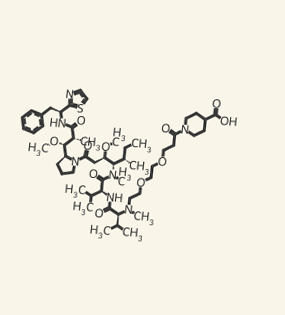 CC[C@H](C)[C@@H]([C@@H](CC(=O)N1CCC[C@H]1[C@H](OC)[C@@H](C)C(=O)N[C@@H](Cc1ccccc1)c1nccs1)OC)N(C)C(=O)[C@@H](NC(=O)[C@H](C(C)C)N(C)CCOCCOCCC(=O)N1CCC(C(=O)O)CC1)C(C)C